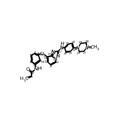 C=CC(=O)Nc1cccc(Oc2cccn3nc(Nc4ccc(N5CCN(C)CC5)cc4)nc23)c1